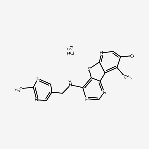 Cc1ncc(CNc2ncnc3c2sc2ncc(Cl)c(C)c23)cn1.Cl.Cl